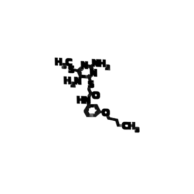 CCCCOc1cccc(NC(=O)CSc2nc(N)nc(SC)c2N)c1